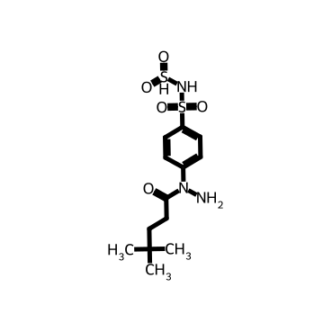 CC(C)(C)CCC(=O)N(N)c1ccc(S(=O)(=O)N[SH](=O)=O)cc1